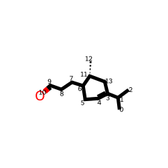 CC(C)C1=CCC(CCC=O)[C@H](C)C1